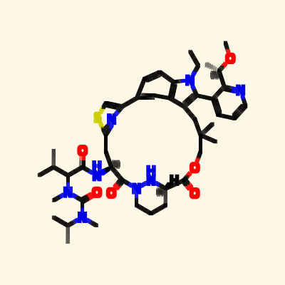 CCn1c(-c2cccnc2[C@H](C)OC)c2c3cc(ccc31)-c1csc(n1)C[C@H](NC(=O)C(C(C)C)N(C)C(=O)N(C)C(C)C)C(=O)N1CCC[C@H](N1)C(=O)OCC(C)(C)C2